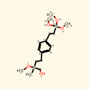 CO[Si](C)(CO)CCc1ccc(CC[Si](OC)(OC)OC)cc1